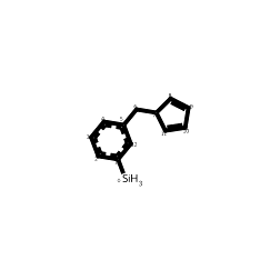 [SiH3]c1cccc(CC2C=CC=C2)c1